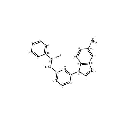 C[C@H]([AsH]c1nccc(-n2cnc3cc(N)ccc32)n1)c1ccccc1